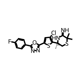 CC1(C)SC[C@@](C)(c2sc(-c3nnc(-c4ccc(F)cc4)o3)cc2Cl)NC1=N